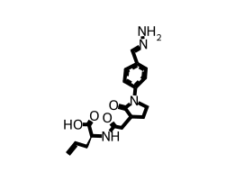 C=CC[C@H](NC(=O)CC1CCN(c2ccc(C=NN)cc2)C1=O)C(=O)O